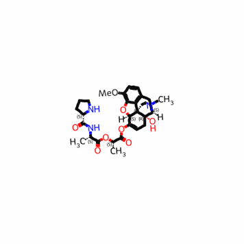 COc1ccc2c3c1O[C@@H]1C(OC(=O)[C@H](C)OC(=O)[C@H](C)NC(=O)[C@@H]4CCCN4)=CC[C@]4(O)[C@H](C2)N(C)CC[C@@]314